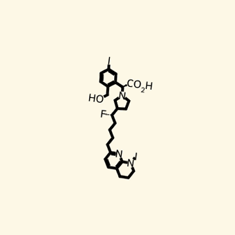 O=C(O)[C@H](c1cc(I)ccc1CO)N1CCC([C@@H](F)CCCCc2ccc3c(n2)N(I)CCC3)C1